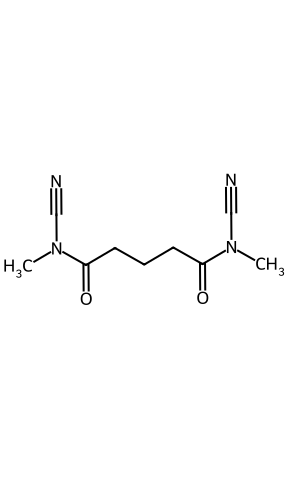 CN(C#N)C(=O)CCCC(=O)N(C)C#N